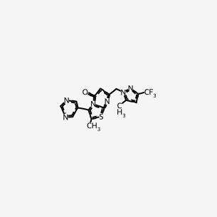 Cc1sc2nc(Cn3nc(C(F)(F)F)cc3C)cc(=O)n2c1-c1cncnc1